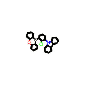 Clc1c(B2c3ccccc3Oc3ccccc32)cccc1-n1c2ccccc2c2ccccc21